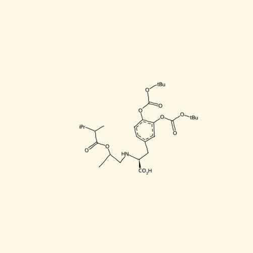 CC(CN[C@@H](Cc1ccc(OC(=O)OC(C)(C)C)c(OC(=O)OC(C)(C)C)c1)C(=O)O)OC(=O)C(C)C(C)C